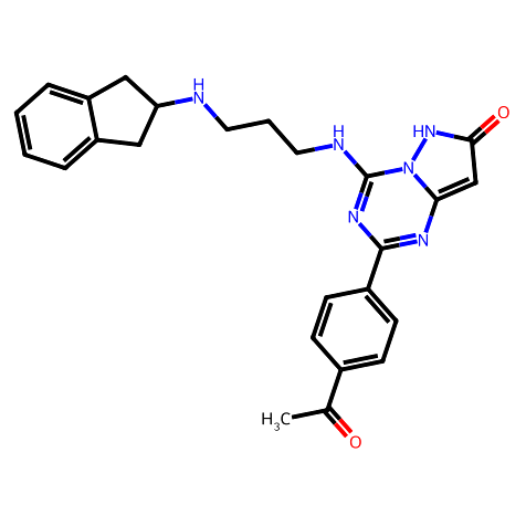 CC(=O)c1ccc(-c2nc(NCCCNC3Cc4ccccc4C3)n3[nH]c(=O)cc3n2)cc1